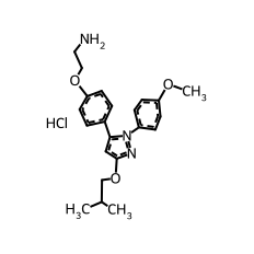 COc1ccc(-n2nc(OCC(C)C)cc2-c2ccc(OCCN)cc2)cc1.Cl